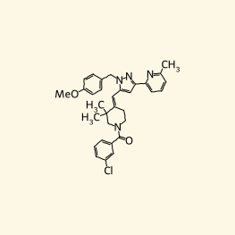 COc1ccc(Cn2nc(-c3cccc(C)n3)cc2/C=C2\CCN(C(=O)c3cccc(Cl)c3)CC2(C)C)cc1